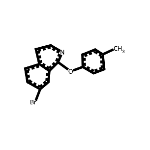 Cc1ccc(Oc2nccc3ccc(Br)cc23)cc1